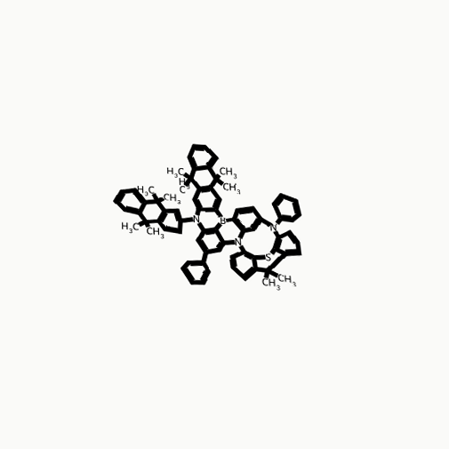 CC1(C)c2ccccc2C(C)(C)c2cc(N3c4cc5c(cc4B4c6ccc7cc6N(c6cccc8c6Sc6c(cccc6C8(C)C)N7c6ccccc6)c6cc(-c7ccccc7)cc3c64)C(C)(C)c3ccccc3C5(C)C)ccc21